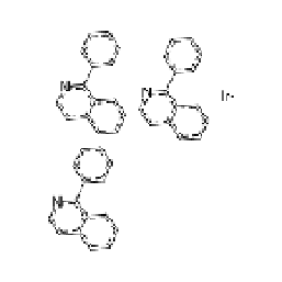 [Ir].c1ccc(-c2nccc3ccccc23)cc1.c1ccc(-c2nccc3ccccc23)cc1.c1ccc(-c2nccc3ccccc23)cc1